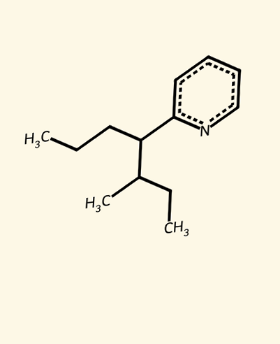 CCCC(c1ccccn1)C(C)CC